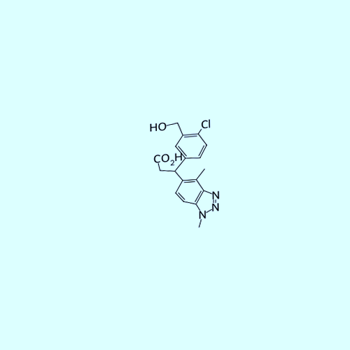 Cc1c(C(CC(=O)O)c2ccc(Cl)c(CO)c2)ccc2c1nnn2C